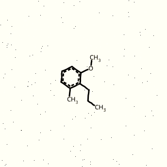 CCCc1c(C)cccc1OC